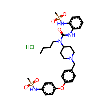 CCCCN(C(=O)Nc1ccccc1NS(C)(=O)=O)C1CCN(Cc2ccc(Oc3ccc(NS(C)(=O)=O)cc3)cc2)CC1.Cl